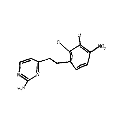 Nc1nccc(CCc2ccc([N+](=O)[O-])c(Cl)c2Cl)n1